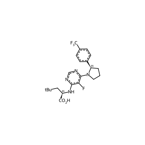 CC(C)(C)C[C@@H](Nc1ncnc(N2CCC[C@@H]2c2ccc(C(F)(F)F)cc2)c1F)C(=O)O